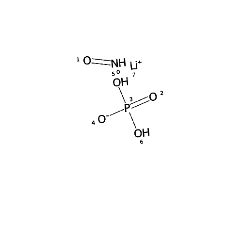 N=O.O=P([O-])(O)O.[Li+]